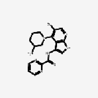 NC1CCCN(c2c(Br)cnc3[nH]cc(NC(=O)c4ncccn4)c23)C1